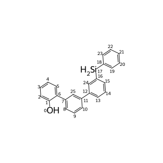 Oc1ccccc1-c1cccc(-c2cccc([SiH2]c3ccccc3)c2)c1